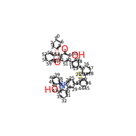 Cc1ccc2c(c1)Oc1cc(-c3ccc(-c4cccc5c4sc4c(-c6ccc7c(c6)c6ccccc6n7-c6ccccc6O)cccc45)cc3O)cc3c1B2c1ccccc1O3